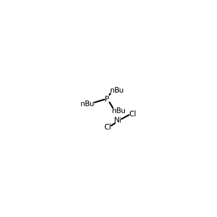 CCCCP(CCCC)CCCC.[Cl][Ni][Cl]